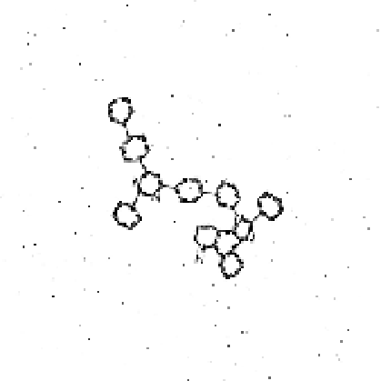 C1=Cc2c(c3ccccc3c3nc(-c4ccccc4)n(-c4cccc(-c5ccc(-c6cc(-c7ccc(-c8ccccc8)cc7)nc(-c7ccccc7)n6)cc5)c4)c23)NC1